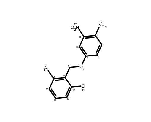 Nc1ccc(OCc2c(Cl)cccc2Cl)cc1[N+](=O)[O-]